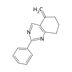 C=C1CCCc2nc(-c3ccccc3)ncc21